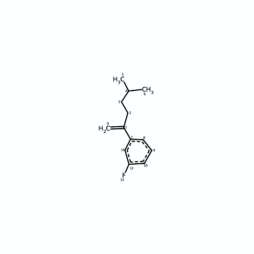 C=C(CCC(C)C)c1cccc(F)c1